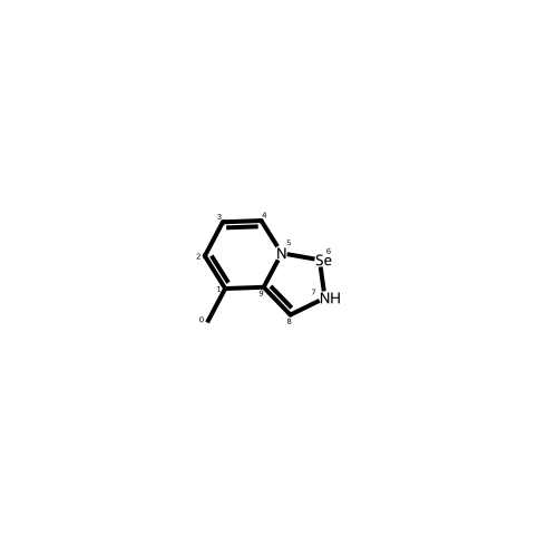 CC1=CC=CN2[Se]NC=C12